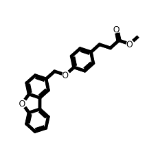 COC(=O)CCc1ccc(OCc2ccc3oc4ccccc4c3c2)cc1